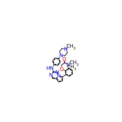 CN1CCN(c2ccc(Nc3ncc4ccc(-c5ccccc5OCC(=O)N(C)C)n4n3)cc2)CC1